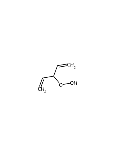 C=CC(C=C)OO